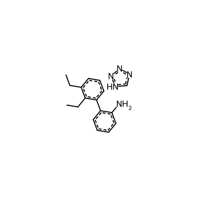 CCc1cccc(-c2ccccc2N)c1CC.c1nnn[nH]1